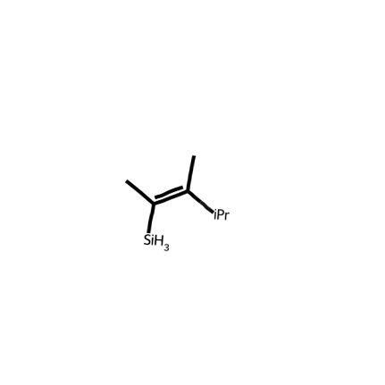 CC([SiH3])=C(C)C(C)C